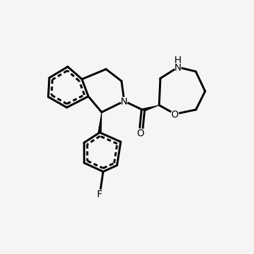 O=C([C@H]1CNCCCO1)N1CCc2ccccc2[C@@H]1c1ccc(F)cc1